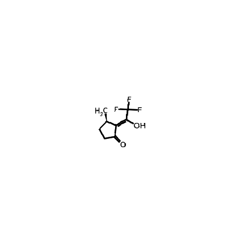 C[C@@H]1CCC(=O)/C1=C(\O)C(F)(F)F